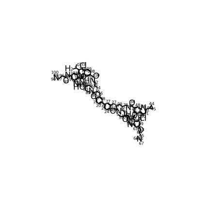 CC(C)c1cnc2cc(C(=O)NCCC[C@H](Cc3cccc(-c4cccc(C[C@@H](CCCNC(=O)c5ccc6c(Cl)cc(C7CC7)nc6c5)C(=O)N5CCC(O)(Cn6cnc7cc(OCCN(C)C)cc(F)c7c6=O)CC5)c4)c3)C(=O)N3CCC(O)(Cn4cnc5cc(NC(=O)CCN(C)C)ccc5c4=O)CC3)ccc2c1Cl